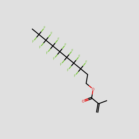 C=C(C)C(=O)OCCC(F)(F)C(F)(F)C(F)(F)C(F)(F)C(F)(F)C(F)(F)C(C)(F)F